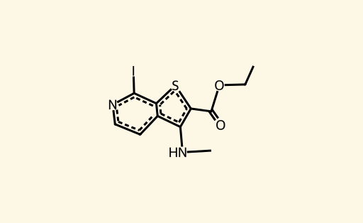 CCOC(=O)c1sc2c(I)nccc2c1NC